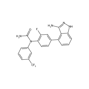 NC(=O)N(c1cccc(C(F)(F)F)c1)c1ccc(-c2cccc3[nH]nc(N)c23)cc1F